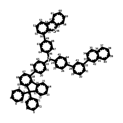 c1ccc(C2(c3ccccc3)c3ccccc3-c3c(-c4ccc(N(c5ccc(-c6cccc(-c7ccc8ccccc8c7)c6)cc5)c5ccc(-c6cccc7c6sc6ccccc67)cc5)cc4)cccc32)cc1